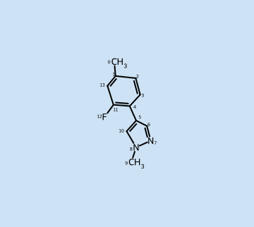 Cc1ccc(-c2cnn(C)c2)c(F)c1